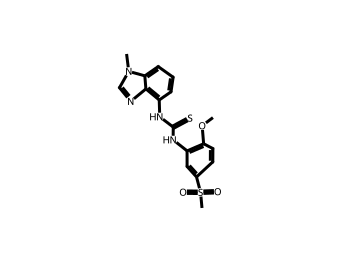 COc1ccc(S(C)(=O)=O)cc1NC(=S)Nc1cccc2c1ncn2C